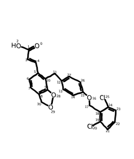 O=C(O)/C=C/c1ccc2c(c1Cc1ccc(OCc3c(Cl)cccc3Cl)cc1)OOC2